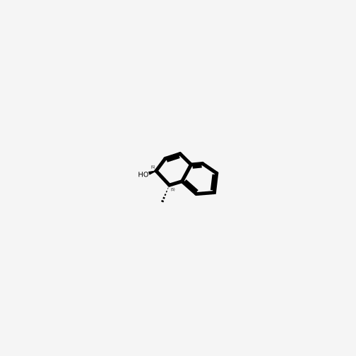 C[C@H]1c2ccccc2C=C[C@@H]1O